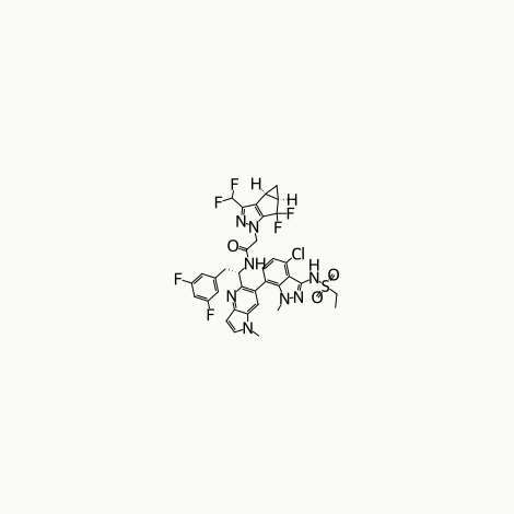 CCS(=O)(=O)Nc1nn(C)c2c(-c3cc4c(ccn4C)nc3[C@H](Cc3cc(F)cc(F)c3)NC(=O)Cn3nc(C(F)F)c4c3C(F)(F)[C@@H]3C[C@H]43)ccc(Cl)c12